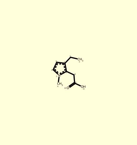 CCc1ccn(C)c1CC(=O)O